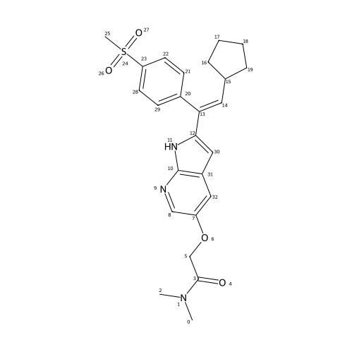 CN(C)C(=O)COc1cnc2[nH]c(/C(=C/C3CCCC3)c3ccc(S(C)(=O)=O)cc3)cc2c1